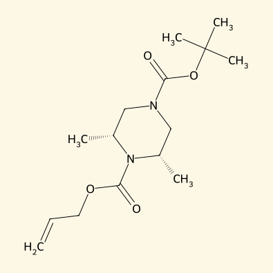 C=CCOC(=O)N1[C@H](C)CN(C(=O)OC(C)(C)C)C[C@@H]1C